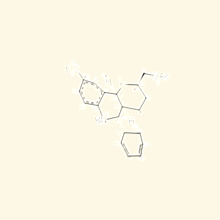 CC(=O)OC[C@H]1CC[C@@H]2[C@H](O1)c1cc(C(F)(F)F)ccc1N[C@H]2C1C=CC=CC1